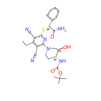 CCc1c(C#N)c(S[C@@H](C(N)=O)c2ccccc2)nc(N2CC[C@@H](NC(=O)OC(C)(C)C)[C@H](O)C2)c1C#N